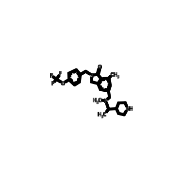 Cc1cc(CN(C)C(C)C2CCNCC2)cc2c1C(=O)N(Cc1ccc(OC(F)(F)F)cc1)C2